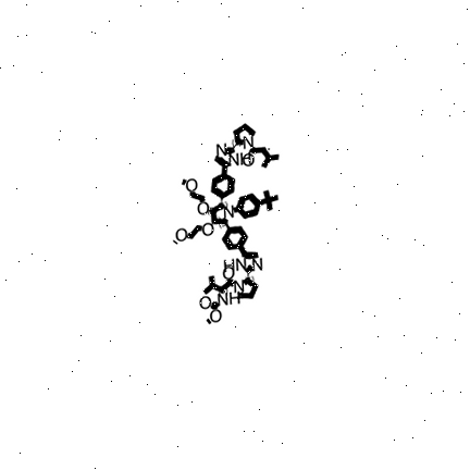 COCCO[C@H]1[C@H](OCCOC)[C@H](c2ccc(-c3cnc([C@@H]4CCCN4C(=O)[C@@H](NC(=O)OC)C(C)C)[nH]3)cc2)N(c2ccc(C(C)(C)C)cc2)[C@H]1c1ccc(-c2cnc([C@@H]3CCCN3C(=O)[CH]C(C)C)[nH]2)cc1